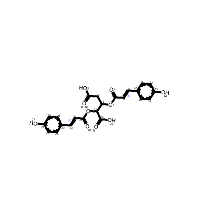 O=C(O)CC(OC(=O)/C=C/c1ccc(O)cc1)C(OC(=O)/C=C/c1ccc(O)cc1)C(=O)O